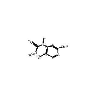 COc1ccc(N)c(N(C)C(=O)OC(C)(C)C)c1